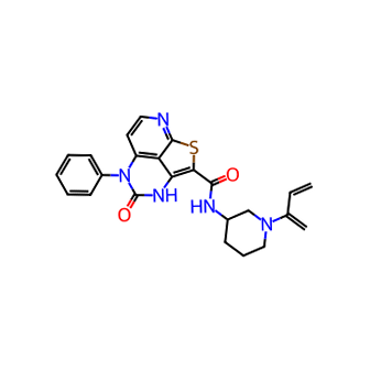 C=CC(=C)N1CCCC(NC(=O)c2sc3nccc4c3c2NC(=O)N4c2ccccc2)C1